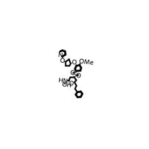 COc1ccc(S(=O)(=O)C(CCCCc2ccccc2)CC(=O)NO)cc1O[C@@H]1CC[C@@H](Oc2ccccn2)C1